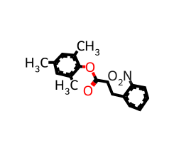 Cc1cc(C)c(OC(=O)CCc2ccccc2[N+](=O)[O-])c(C)c1